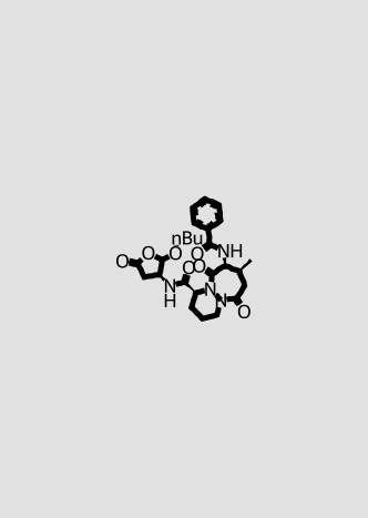 CCCCOC1OC(=O)C[C@@H]1NC(=O)[C@@H]1CCCN2C(=O)C[C@H](C)[C@H](NC(=O)c3ccccc3)C(=O)N12